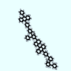 c1ccc(-c2c3ccccc3c(-c3ccc(-c4ccc5c(c4)sc4cc(-c6cccc7c(-c8c9ccccc9c(-c9ccc(-c%10cccc%11c%10sc%10cccc(-c%12ccccc%12)c%10%11)cc9)c9ccccc89)cccc67)cc(-c6ccccc6)c45)cc3)c3ccccc23)cc1